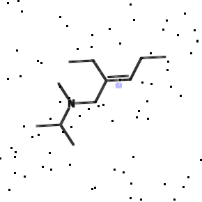 CC/C=C(\CC)CN(C)C(C)C